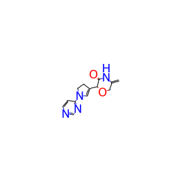 C=C1COC(C2=CN(c3ccncn3)CC2)C(=O)N1